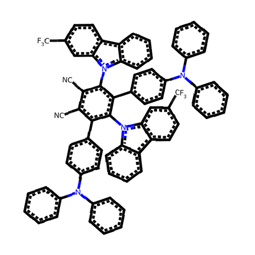 N#Cc1c(C#N)c(-n2c3ccccc3c3ccc(C(F)(F)F)cc32)c(-c2ccc(N(c3ccccc3)c3ccccc3)cc2)c(-n2c3ccccc3c3ccc(C(F)(F)F)cc32)c1-c1ccc(N(c2ccccc2)c2ccccc2)cc1